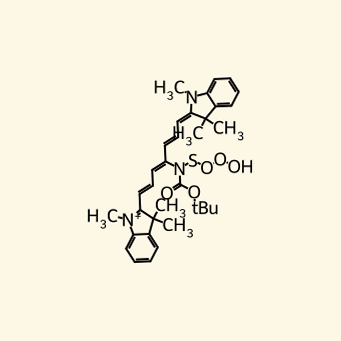 CN1/C(=C/C=C/C(=C/C=C/C2=[N+](C)c3ccccc3C2(C)C)N(SOOO)C(=O)OC(C)(C)C)C(C)(C)c2ccccc21